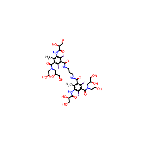 Cc1c(NC(=O)C(O)CO)c(I)c(C(=O)NCCCNC(=O)c2c(C)c(NC(=O)C(O)CO)c(I)c(C(=O)N(CCO)CC(O)CO)c2I)c(I)c1C(=O)N(CCO)CC(O)CO